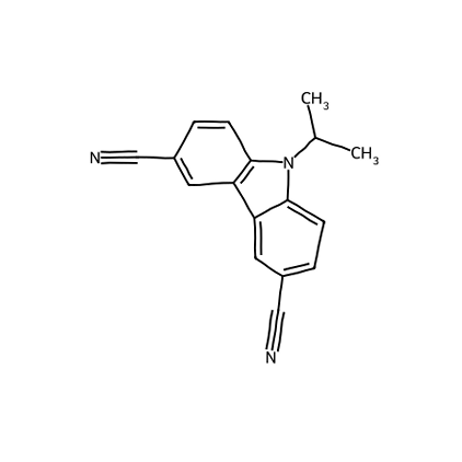 CC(C)n1c2ccc(C#N)cc2c2cc(C#N)ccc21